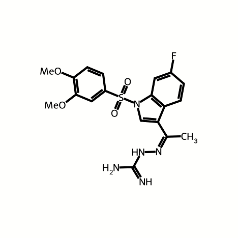 COc1ccc(S(=O)(=O)n2cc(/C(C)=N\NC(=N)N)c3ccc(F)cc32)cc1OC